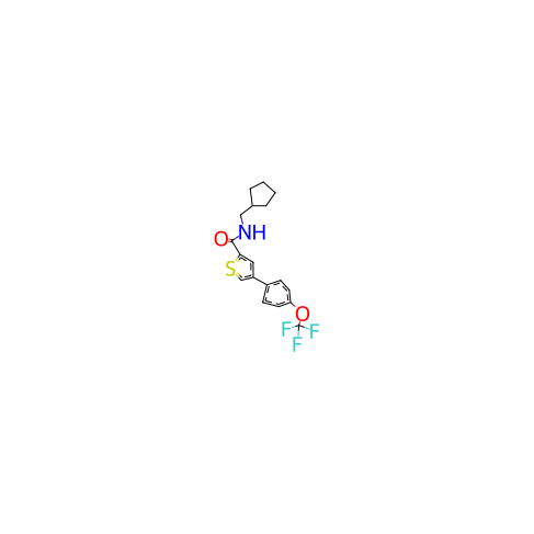 O=C(NCC1CCCC1)c1cc(-c2ccc(OC(F)(F)F)cc2)cs1